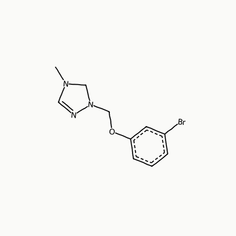 CN1C=NN(COc2cccc(Br)c2)C1